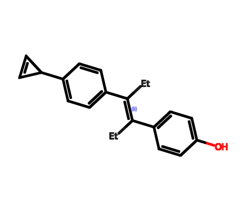 CC/C(=C(/CC)c1ccc(C2C=C2)cc1)c1ccc(O)cc1